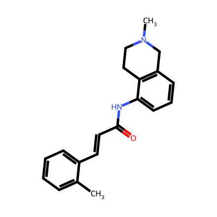 Cc1ccccc1/C=C/C(=O)Nc1cccc2c1CCN(C)C2